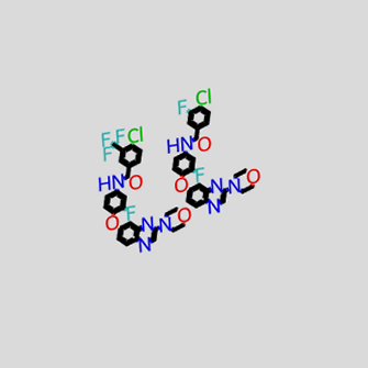 O=C(Nc1ccc(Oc2ccc3ncc(N4CCOCC4)nc3c2)c(F)c1)c1ccc(Cl)c(C(F)(F)F)c1.O=C(Nc1ccc(Oc2ccc3ncc(N4CCOCC4)nc3c2)c(F)c1)c1ccc(Cl)c(F)c1